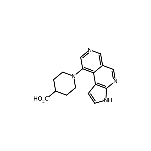 O=C(O)C1CCN(c2cncc3cnc4[nH]ccc4c23)CC1